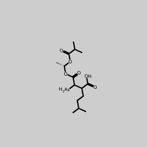 CC(C)CCC(C(=O)O)C([AsH2])C(=O)O[C@H](C)OC(=O)C(C)C